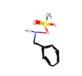 CN(Cc1ccccc1)OS(C)(=O)=O